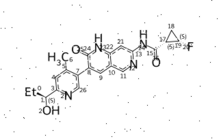 CC[C@H](O)c1cc(C)c(-c2cc3cnc(NC(=O)[C@@H]4C[C@@H]4F)cc3[nH]c2=O)cn1